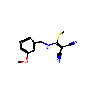 COc1cccc(CNC(SC)=C(C#N)C#N)c1